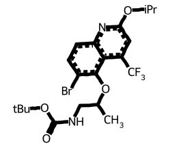 CC(C)Oc1cc(C(F)(F)F)c2c(OC(C)CNC(=O)OC(C)(C)C)c(Br)ccc2n1